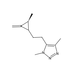 C=C1C(CCc2c(C)nnn2C)[C@@H]1C